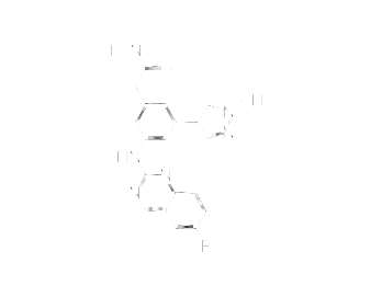 CN1CC(c2cc(CC(N)=O)cc(Nc3ncc4cc(Br)ccc4n3)c2)C=N1